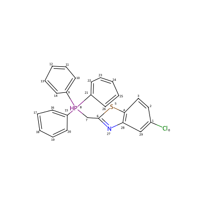 Clc1ccc2sc(C[PH](c3ccccc3)(c3ccccc3)c3ccccc3)nc2c1